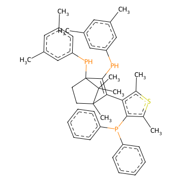 Cc1cc(C)cc(PC2=C(c3c(C)sc(C)c3P(c3ccccc3)c3ccccc3)C3(C)CCC2(Pc2cc(C)cc(C)c2)C3(C)C)c1